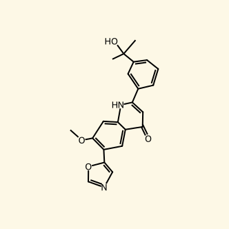 COc1cc2[nH]c(-c3cccc(C(C)(C)O)c3)cc(=O)c2cc1-c1cnco1